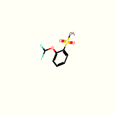 CS(=O)(=O)c1c[c]ccc1OC(F)F